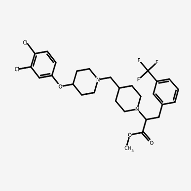 COC(=O)C(Cc1cccc(C(F)(F)F)c1)N1CCC(CN2CCC(Oc3ccc(Cl)c(Cl)c3)CC2)CC1